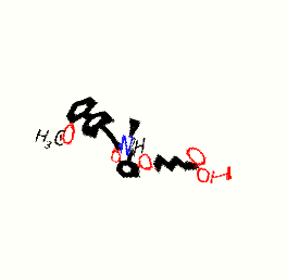 [2H]C(c1ccccc1OCCCCCC(=O)O)N(C(=O)c1ccc(-c2ccccc2OC)cc1)C1CC1